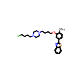 COc1ccc(-c2nc3ccccc3s2)cc1OCCCCN1CCN(CCCCBr)CC1